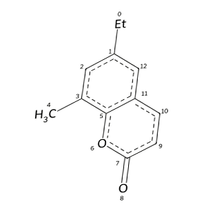 CCc1cc(C)c2oc(=O)ccc2c1